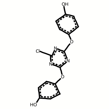 Oc1ccc(Oc2nc(Cl)nc(Oc3ccc(O)cc3)n2)cc1